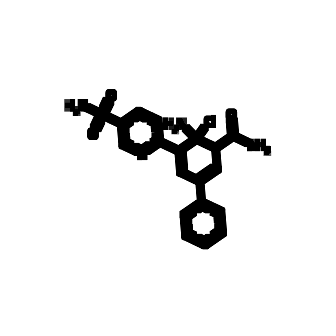 NC(=O)C1C=C(c2ccccc2)C=C(c2ccc(S(N)(=O)=O)cn2)C1(N)Cl